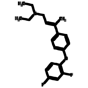 CCN(CC)CC=C(C)c1ccc(Oc2ccc(F)cc2F)cc1